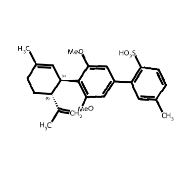 C=C(C)[C@@H]1CCC(C)=C[C@H]1c1c(OC)cc(-c2cc(C)ccc2S(=O)(=O)O)cc1OC